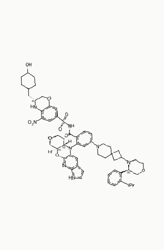 CC(C)c1ccccc1[C@@H]1COCCN1C1CC2(CCN(c3ccc(C(=O)NS(=O)(=O)c4cc5c(c([N+](=O)[O-])c4)N[C@H](CC4CCC(O)CC4)CO5)c(N4c5cc6cc[nH]c6nc5O[C@H]5COCC[C@@H]54)c3)CC2)C1